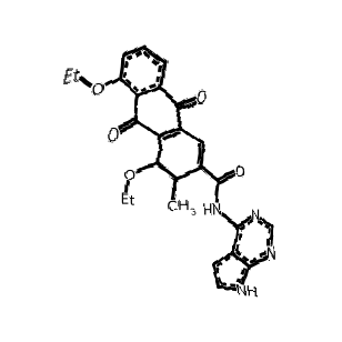 CCOc1cccc2c1C(=O)C1=C(C=C(C(=O)Nc3ncnc4[nH]ccc34)C(C)C1OCC)C2=O